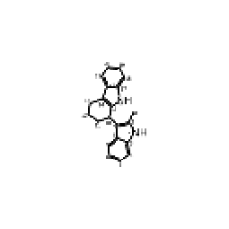 Cc1[nH]c2ccccc2c1C1CCCc2c1[nH]c1ccccc21